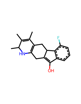 CC1=C(C)C(C)NC2=C1CC1C(=C(O)c3cccc(F)c31)C2